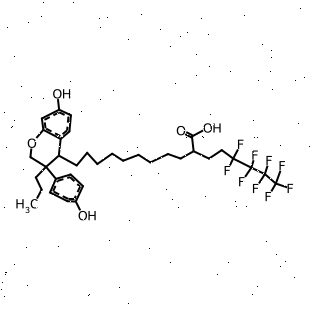 CCCC1(c2ccc(O)cc2)COc2cc(O)ccc2C1CCCCCCCCCC(CCC(F)(F)C(F)(F)C(F)(F)C(F)(F)F)C(=O)O